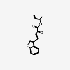 C=CC(C)OC(=O)C(=O)/C=C/c1coc2ccccc12